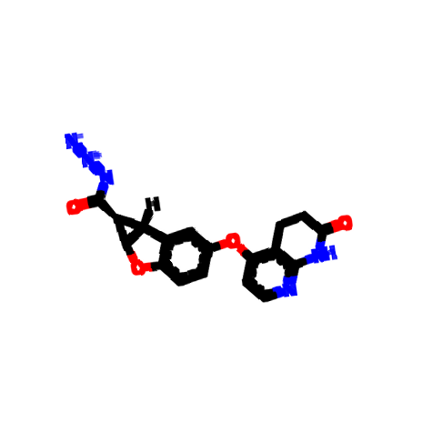 [N-]=[N+]=NC(=O)[C@@H]1C2Oc3ccc(Oc4ccnc5c4CCC(=O)N5)cc3[C@H]21